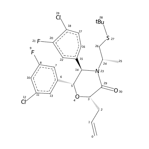 C=CC[C@@H]1O[C@H](c2cc(F)cc(Cl)c2)[C@@H](c2ccc(Cl)c(F)c2)N([C@@H](C)CSC(C)(C)C)C1=O